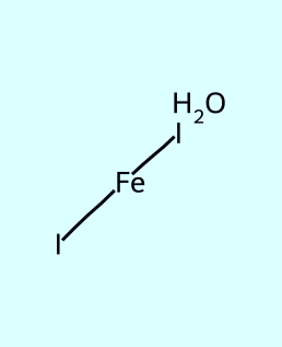 O.[I][Fe][I]